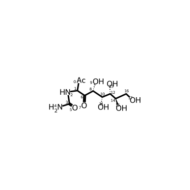 CC(=O)C(NC(N)=O)C(=O)[C@H](O)[C@@H](O)[C@H](O)[C@H](O)CO